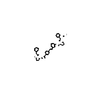 CC(C)OC(=O)N[C@@H](C(=O)N1CCC[C@H]1C(=O)Nc1ccc2[nH]c(-c3ccc(-c4cnc([C@@H]5CCCN5C(=O)[C@@H](c5ccccc5)N(C(=O)O)C(C)C)s4)cc3)cc2c1)c1ccccc1